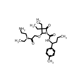 CCCC(NC(=O)N1C(=O)C(CC)(CC)C1OCC(=O)N(CC)CCN)c1ccc(C)cc1